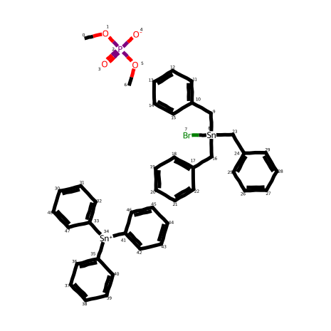 COP(=O)([O-])OC.[Br][Sn]([CH2]c1ccccc1)([CH2]c1ccccc1)[CH2]c1ccccc1.c1cc[c]([Sn+]([c]2ccccc2)[c]2ccccc2)cc1